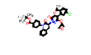 CC(=O)c1ccc(Cl)cc1-c1cc(=O)n([C@@H](Cc2ccccc2)C(=O)Nc2ccc(C(=O)OC(C)(C)C)cc2)nc1OC1COC1